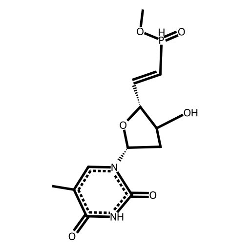 CO[PH](=O)/C=C/[C@H]1O[C@@H](n2cc(C)c(=O)[nH]c2=O)CC1O